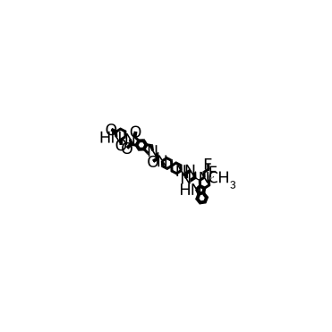 C[C@@H]1Cc2c([nH]c3ccccc23)[C@@H](c2cnc(N3CCC4(CCN(C(=O)CN5Cc6cc7c(cc6C5)C(=O)N(C5CCC(=O)NC5=O)C7=O)CC4)CC3)nc2)N1CC(F)F